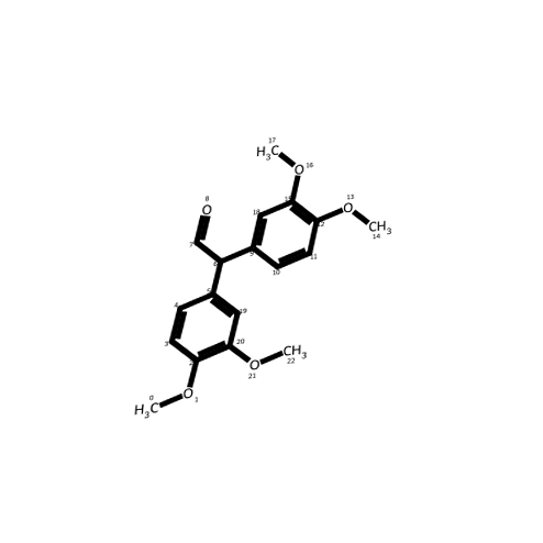 COc1ccc(C([C]=O)c2ccc(OC)c(OC)c2)cc1OC